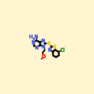 COCCn1c(Sc2nc3cccc(Cl)c3s2)nc2c(N)ncnc21